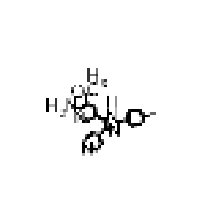 CC(=O)c1cc(-c2[nH]c(-c3ccc(F)cc3)nc2-c2ccncc2)cnc1N